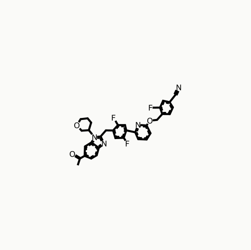 CC(=O)c1ccc2nc(Cc3cc(F)c(-c4cccc(OCc5ccc(C#N)cc5F)n4)cc3F)n(C3CCCOC3)c2c1